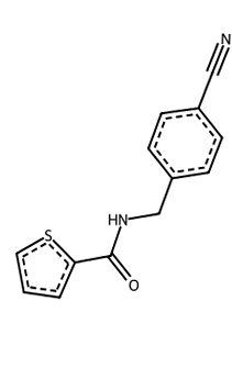 N#Cc1ccc(CNC(=O)c2cccs2)cc1